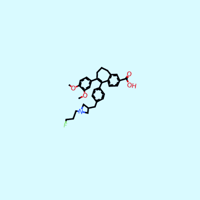 COc1ccc(C2=C(c3ccc(CC4CN(CCCF)C4)cc3)c3ccc(C(=O)O)cc3CCC2)cc1OC